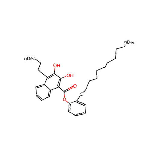 CCCCCCCCCCCCCCCCCCCCc1ccccc1OC(=O)c1c(O)c(O)c(CCCCCCCCCCCC)c2ccccc12